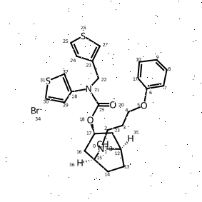 C[N+]1(CCCOc2ccccc2)[C@@H]2CC[C@H]1C[C@@H](OC(=O)N(Cc1ccsc1)c1ccsc1)C2.[Br-]